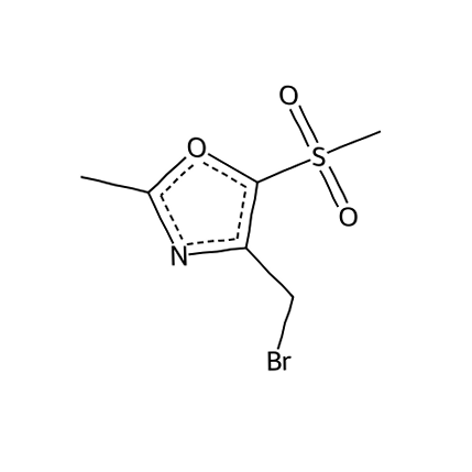 Cc1nc(CBr)c(S(C)(=O)=O)o1